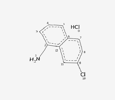 Cl.Nc1cccc2ccc(Cl)cc12